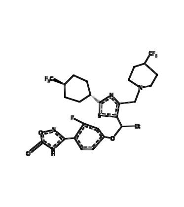 CCC(Oc1ccc(-c2noc(=O)[nH]2)c(F)c1)c1sc([C@H]2CC[C@H](C(F)(F)F)CC2)nc1CN1CCC(C(F)(F)F)CC1